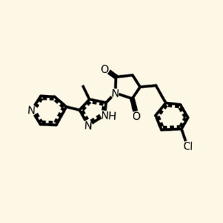 Cc1c(-c2ccncc2)n[nH]c1N1C(=O)CC(Cc2ccc(Cl)cc2)C1=O